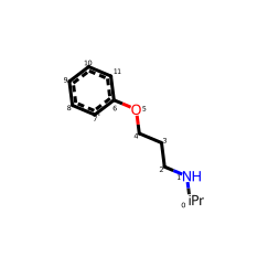 CC(C)NCCCOc1[c]cccc1